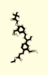 CCOC(=O)CCc1ccc(C(CC)CCc2ccc(OCC(=O)C(C)(C)C)c(CN)c2)cc1CN